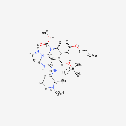 COCCOc1ccc(N(C(=O)OC(C)(C)C)c2c(CCO[Si](C)(C)C(C)(C)C)c(NC3CCCN(C(=O)O)[C@H]3C(C)(C)C)nc3ccnn23)cc1